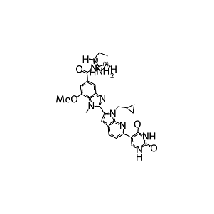 COc1cc(C(=O)N2C[C@H]3CC[C@@H]2[C@@H]3N)cc2nc(-c3cc4ccc(-c5c[nH]c(=O)[nH]c5=O)nc4n3CC3CC3)n(C)c12